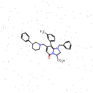 O=C(O)C1CN(Cc2ccccc2)c2c(-c3cccc(C(F)(F)F)c3)c(CN3CCC[C@@H](c4ccccc4)C3)cc(=O)n21